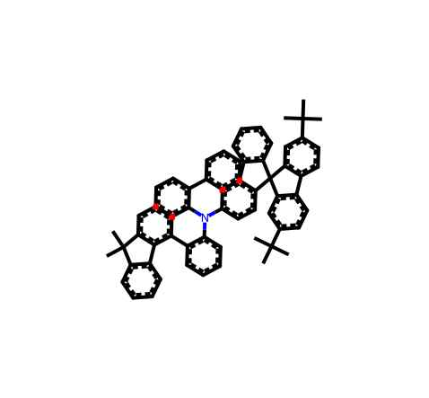 CC(C)(C)c1ccc2c(c1)C1(c3ccccc3-c3cc(N(c4ccccc4-c4ccccc4)c4ccccc4-c4cccc5c4-c4ccccc4C5(C)C)ccc31)c1cc(C(C)(C)C)ccc1-2